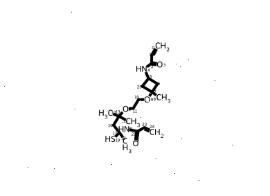 C=CC(=O)NC1CC(C)(OCCOC(C)(C)CC(C)(S)NC(=O)C=C)C1